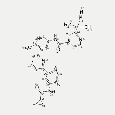 Cc1ncc(NC(=O)c2ccnc(C(C)(C)C#N)c2)cc1-c1cccc(-c2cc(NC(=O)C3CC3)ncn2)n1